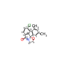 Cc1cc(C)cc(C23OCCN2C(=O)c2ccc(Cl)cc23)c1